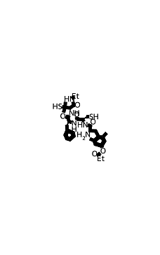 CCNC(=O)[C@H](NC(=O)[C@H](Cc1ccccc1)NC(=O)[C@@H](CS)NC(=O)[C@@H](N)Cc1c(C)cc(OC(=O)CC)cc1C)C(C)(C)S